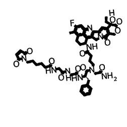 CC[C@@]1(O)C(=O)OCc2c1cc1n(c2=O)Cc2c-1nc1cc(F)c(C)c3c1c2[C@@H](NC(=O)CCCN(CC(N)=O)C(=O)[C@H](Cc1ccccc1)NC(=O)CNC(=O)CNC(=O)CCCCCN1C(=O)C=CC1=O)CC3